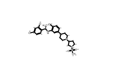 C[C@@H](Nc1cc(C2CCN(C3CCN(S(C)(=O)=O)C3)CC2)ccc1Cl)c1ccc(Cl)cc1Cl